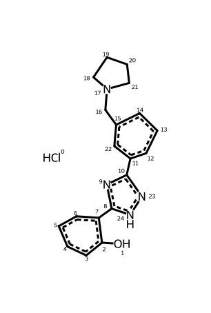 Cl.Oc1ccccc1-c1nc(-c2cccc(CN3CCCC3)c2)n[nH]1